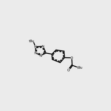 CC(C)(C)C(=O)Oc1ccc(-c2nnn(C(C)(C)C)n2)cc1